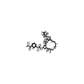 CNC(=O)c1cccc(NC(=O)OC2CC3C(=O)NC4(C(=O)NS(=O)(=O)C5(C)CC5)CC4/C=C/CCCCN(C)C(=O)C3C2)c1